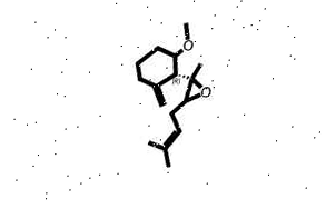 C=C1CCCC(OC)[C@@H]1C1(C)OC1CC=C(C)C